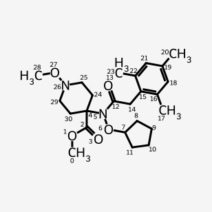 COC(=O)C1(N(OC2CCCC2)C(=O)Cc2c(C)cc(C)cc2C)CCN(OC)CC1